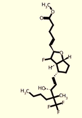 CCCCC(C)([C@H](O)/C=C/[C@H]1CC[C@H]2O[C@H](/C=C/CCC(=O)OC)C(F)[C@H]12)C(F)(F)F